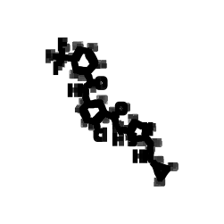 O=C(Nc1ccc(Cl)c(C(=O)Nc2cnc(CNC3CC3)s2)c1)c1cccc(C(F)(F)F)c1